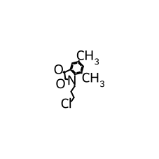 Cc1cc(C)c2c(c1)C(=O)C(=O)N2CCCCl